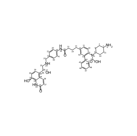 NC1CCC(N(C(=O)O)c2ccc(CCCC(=O)Nc3ccc(CNC[C@H](O)c4ccc(O)c5[nH]c(=O)ccc45)cc3)cc2-c2ccccc2)CC1